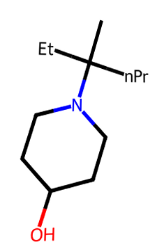 CCCC(C)(CC)N1CCC(O)CC1